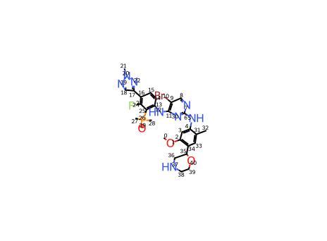 COc1cc(Nc2ncc(Br)c(Nc3ccc(-c4cnn(C)n4)c(F)c3P(C)(C)=O)n2)c(C)cc1C1CNCCO1